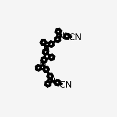 N#Cc1ccc(-n2c3ccccc3c3cc(-c4ccc5c(c4)c4ccccc4n5-c4ccc5c6ccc(-n7c8ccccc8c8cc(-c9ccc%10c(c9)c9ccccc9n%10-c9ccc(C#N)cc9)ccc87)cc6c6ccccc6c5c4)ccc32)cc1